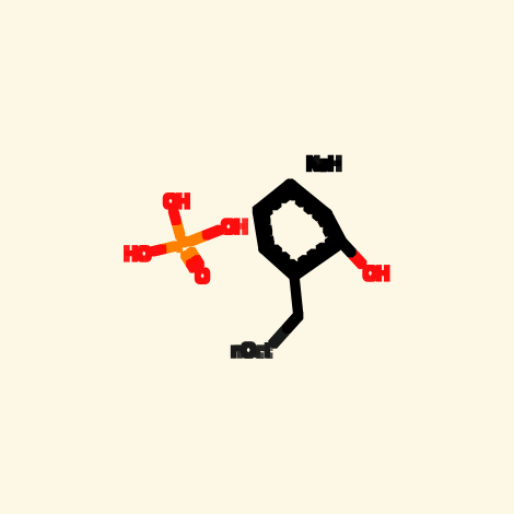 CCCCCCCCCc1ccccc1O.O=P(O)(O)O.[NaH]